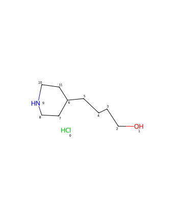 Cl.OCCCCC1CCNCC1